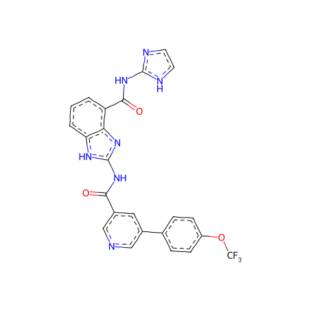 O=C(Nc1nc2c(C(=O)Nc3ncc[nH]3)cccc2[nH]1)c1cncc(-c2ccc(OC(F)(F)F)cc2)c1